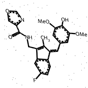 COc1cc(C=C2C(C)=C(CNC(=O)c3cocn3)c3cc(F)ccc32)cc(OC)c1O